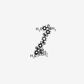 Cc1ccc(C(=O)N(C)c2ccc(OC(=O)C3CCC(C(=O)Oc4ccc(N(C(=O)OC(C)(C)C)C(=O)c5ccc(C)cc5)cc4)CC3)cc2)cc1